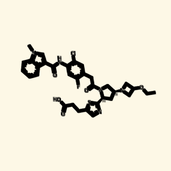 CCOC1CN([C@H]2C[C@@H](c3ncc(CCC(=O)O)s3)N(C(=O)Cc3cc(Cl)c(NC(=O)c4cn(C)c5ccccc45)cc3F)C2)C1